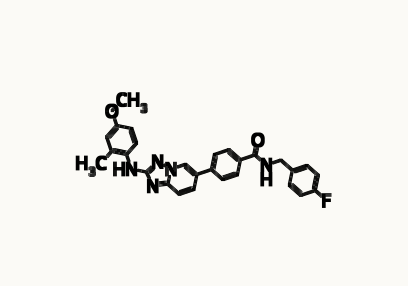 COc1ccc(Nc2nc3ccc(-c4ccc(C(=O)NCc5ccc(F)cc5)cc4)cn3n2)c(C)c1